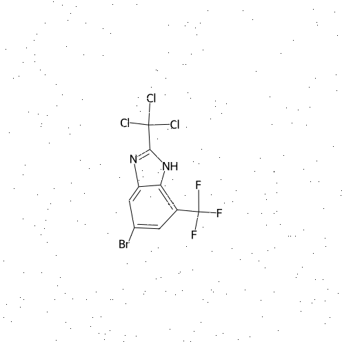 FC(F)(F)c1cc(Br)cc2nc(C(Cl)(Cl)Cl)[nH]c12